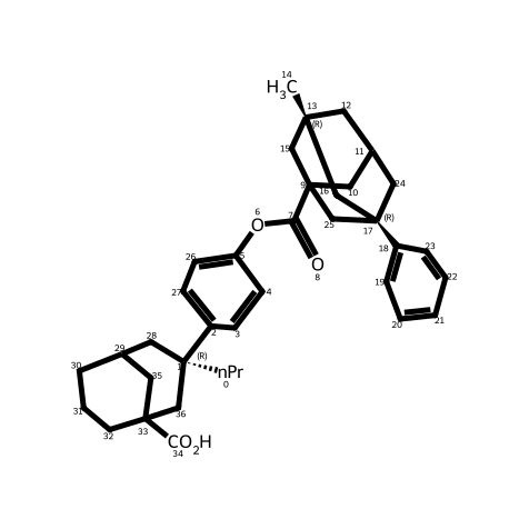 CCC[C@@]1(c2ccc(OC(=O)C34CC5C[C@@](C)(C3)C[C@](c3ccccc3)(C5)C4)cc2)CC2CCCC(C(=O)O)(C2)C1